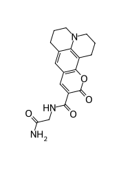 NC(=O)CNC(=O)c1cc2cc3c4c(c2oc1=O)CCCN4CCC3